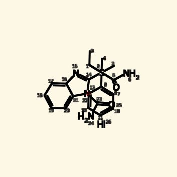 CCS(C)(C)(C(N)=O)(c1ccccc1)c1nc2ccccc2n1C(N)=O.I